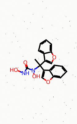 CC(c1coc2ccccc12)(c1coc2ccccc12)N(O)C(=O)NO